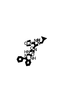 N=C(/C(=C\NCC1CC1)c1nnc(N[C@H]2N=C(c3ccccc3)c3ccccc3NC2=O)o1)N1CCOCC1